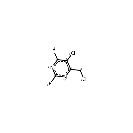 Fc1nc(F)c(Cl)c(CCl)n1